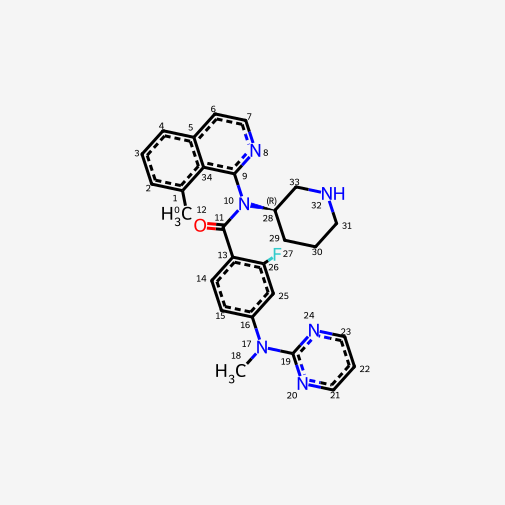 Cc1cccc2ccnc(N(C(=O)c3ccc(N(C)c4ncccn4)cc3F)[C@@H]3CCCNC3)c12